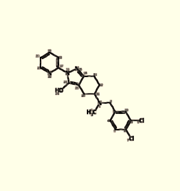 CN(Cc1ccc(Cl)c(Cl)c1)C1CCc2nn(-c3ccccn3)c(O)c2C1